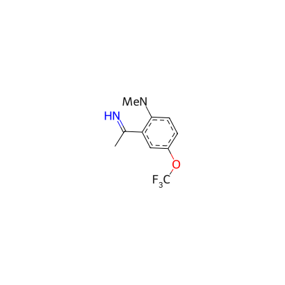 CNc1ccc(OC(F)(F)F)cc1C(C)=N